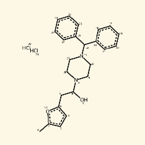 Cc1ccc(CC(O)N2CCN(C(c3ccccc3)c3ccccc3)CC2)o1.Cl.Cl